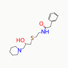 O=C(Cc1ccccc1)NCCSCC(O)CN1CCCCC1